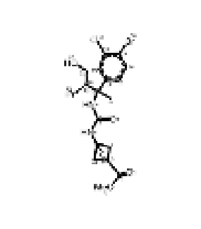 COC(=O)C12CC(NC(=O)NC(C)(c3ccc(Br)c(Cl)c3)[C@H](CO)C(C)C)(C1)C2